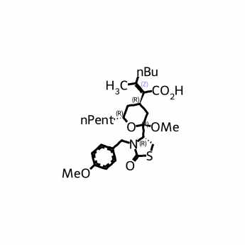 CCCCC[C@@H]1C[C@@H](/C(C(=O)O)=C(\C)CCCC)C[C@](OC)([C@@H]2CSC(=O)N2Cc2ccc(OC)cc2)O1